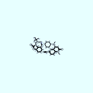 Cn1c(=O)cc(N(C)[C@H]2CC[C@@H](/C(=N/OC(C)(C)C)c3cccc4oc(=O)n(C)c34)CC2)c2nc(C#N)ccc21